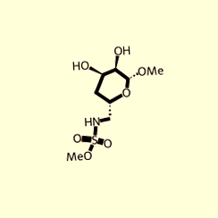 CO[C@@H]1O[C@H](CNS(=O)(=O)OC)C[C@@H](O)[C@H]1O